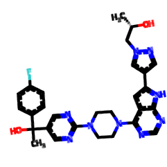 C[C@H](O)Cn1cc(-c2cc3c(N4CCN(c5ncc(C(C)(O)c6ccc(F)cc6)cn5)CC4)ncnc3[nH]2)cn1